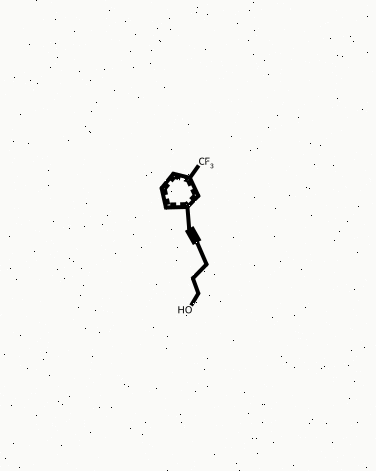 OCCCC#Cc1cccc(C(F)(F)F)c1